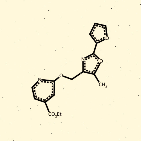 CCOC(=O)c1ccnc(OCc2nc(-c3ccco3)oc2C)c1